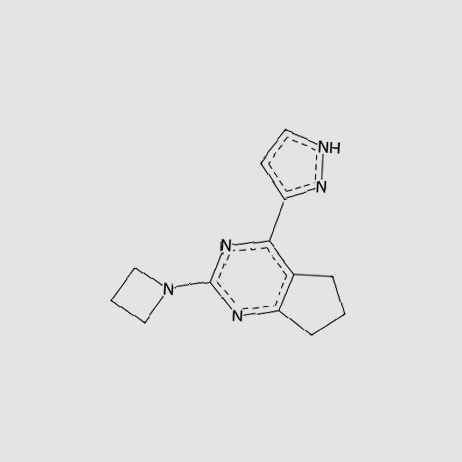 c1cc(-c2nc(N3CCC3)nc3c2CCC3)n[nH]1